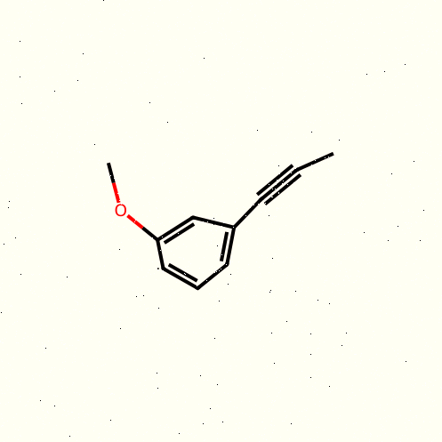 CC#Cc1cc[c]c(OC)c1